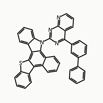 c1ccc(-c2cccc(-c3nc(-n4c5ccccc5c5c6sc7ccccc7c6c6ccccc6c54)nc4ncccc34)c2)cc1